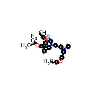 C=Cc1ccc(Oc2ccc(-c3ccc4c(c3)c3cc(-c5ccc(N(c6ccc(F)cc6)c6ccc7c(c6)C(c6ccc(OCC(CC)CCCC)cc6)(c6ccc(Oc8ccc(C=C)cc8)cc6)c6ccccc6-7)cc5)ccc3n4-c3ccccc3)cc2)cc1